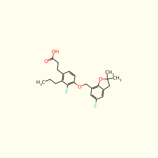 CCCc1c(CCC(=O)O)ccc(OCc2cc(F)cc3c2OC(C)(C)C3)c1F